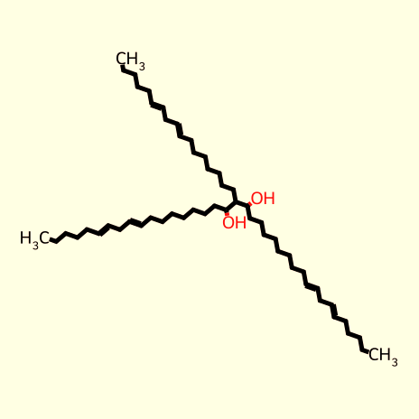 CCCCCC=CCC=CCCCCCCCCC(O)C(CCCCCCCC=CCC=CCCCCC)C(O)CCCCCCCC=CCC=CCCCCC